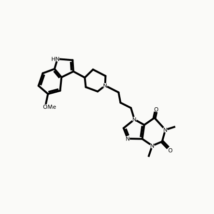 COc1ccc2[nH]cc(C3CCN(CCCn4cnc5c4c(=O)n(C)c(=O)n5C)CC3)c2c1